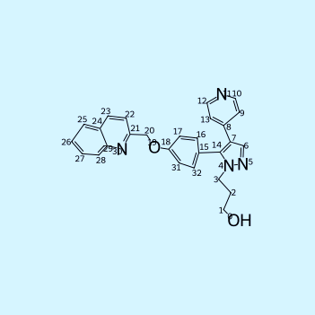 OCCCn1ncc(-c2ccncc2)c1-c1ccc(OCc2ccc3ccccc3n2)cc1